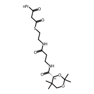 CCCC(=O)CC(=O)SCCNC(=O)CCNC(=O)[C@@H]1OC(C)(C)OCC1(C)C